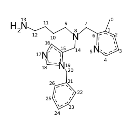 Cc1cccnc1CN(CCCCN)Cc1cncn1Cc1ccccc1